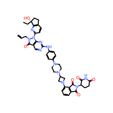 C=CCn1c(=O)c2cnc(Nc3ccc(N4CCN(C5CN(c6cccc7c6C(=O)N(C6CCC(=O)NC6=O)C7=O)C5)CC4)cc3)nc2n1-c1ccc2c(n1)[C@@](O)(CC)CC2